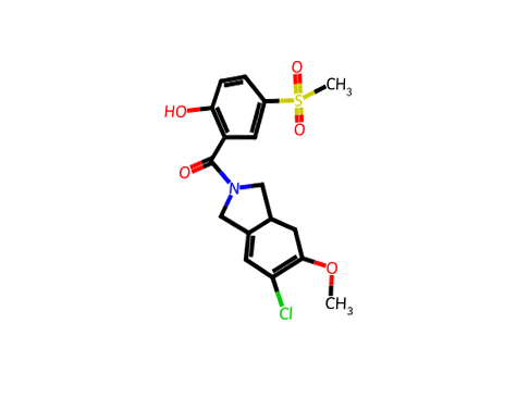 COC1=C(Cl)C=C2CN(C(=O)c3cc(S(C)(=O)=O)ccc3O)CC2C1